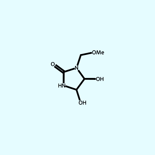 COCN1C(=O)NC(O)C1O